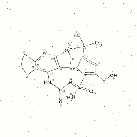 CC(C)(O)c1nc(CO)c([S@@](N)(=O)=NC(=O)Nc2c3c(nc4c2CCC4)CCC3)s1